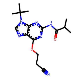 CC(C)C(=O)Nc1nc(OCCC#N)c2ncn(C(C)(C)C)c2n1